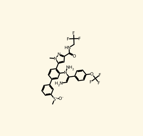 Cn1nc(C(=O)NCC(F)(F)F)cc1-c1ccc(-c2cccc([S+](C)[O-])c2)cc1N(N)/C(=C\N)c1ccc(OC(F)(F)F)cc1